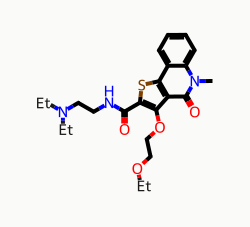 CCOCCOc1c(C(=O)NCCN(CC)CC)sc2c1c(=O)n(C)c1ccccc21